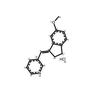 COc1ccc2c(c1)C(=Cc1cccnc1)CC2.Cl